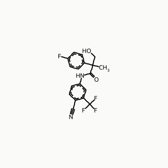 CC(CO)(C(=O)Nc1ccc(C#N)c(C(F)(F)F)c1)c1ccc(F)cc1